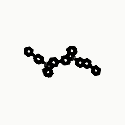 c1ccc(-c2ccc(-n3c4ccccc4c4cc(-c5ccc6c(c5)c5ccccc5n6-c5ccc6cc(-c7ccccc7)ccc6c5)ccc43)cc2)cc1